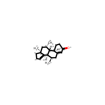 C[C@@H]1CC2=CC(=O)CC[C@@H]2[C@@H]2[C@@H]1C1=CCC[C@@]1(C)C[C@@H]2C